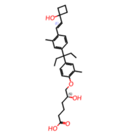 CCC(CC)(c1ccc(/C=C/C2(O)CCC2)c(C)c1)c1ccc(OC[C@@H](O)CCCC(=O)O)c(C)c1